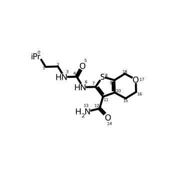 CC(C)CCNC(=O)Nc1sc2c(c1C(N)=O)CCOC2